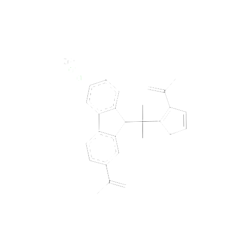 C=C(C)C1=C(C(C)(C)C2c3ccccc3-c3ccc(C(=C)C)cc32)CC=C1.[Cl-].[Cl-].[Zr+2]